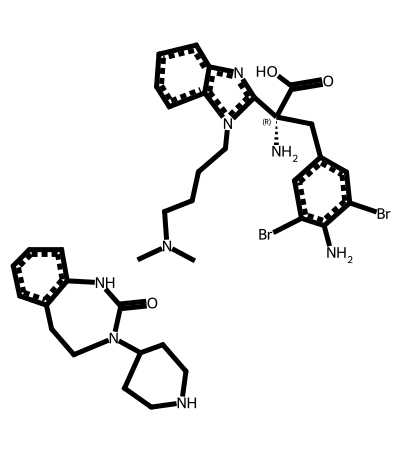 CN(C)CCCCn1c([C@](N)(Cc2cc(Br)c(N)c(Br)c2)C(=O)O)nc2ccccc21.O=C1Nc2ccccc2CCN1C1CCNCC1